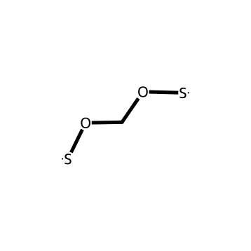 [S]OCO[S]